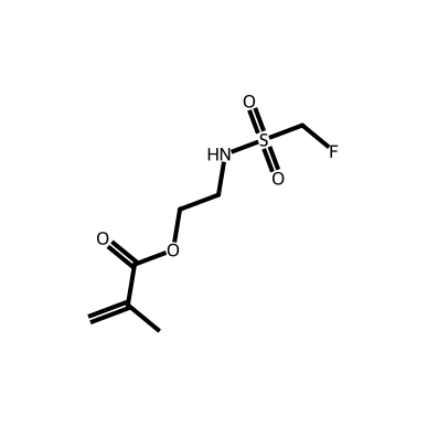 C=C(C)C(=O)OCCNS(=O)(=O)CF